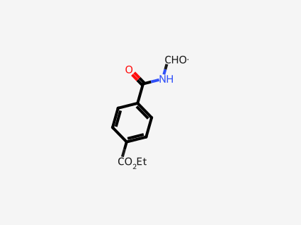 CCOC(=O)c1ccc(C(=O)N[C]=O)cc1